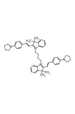 CC1(C)C(/C=C/c2ccc(N3CCCC3)cc2)=[N+](CCCC[N+]2=C(/C=C/c3ccc(N4CCCC4)cc3)C(C)(C)c3ccccc32)c2ccccc21